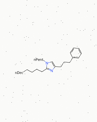 CCCCCCCCCCCCCCc1nc(CCCc2ccccc2)cn1CCCCC